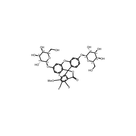 COc1c(F)c(F)c2c(c1F)C1(OC2=O)c2ccc(O[C@@H]3O[C@H](CO)[C@H](O)[C@H](O)[C@H]3O)cc2Oc2cc(O[C@@H]3O[C@H](CO)[C@H](O)[C@H](O)[C@H]3O)ccc21